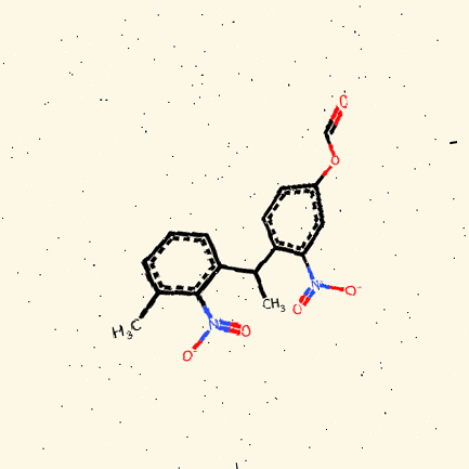 Cc1cccc(C(C)c2ccc(OC=O)cc2[N+](=O)[O-])c1[N+](=O)[O-]